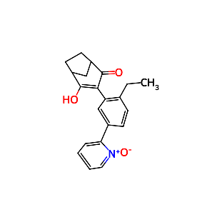 CCc1ccc(-c2cccc[n+]2[O-])cc1C1=C(O)C2CCC(C2)C1=O